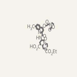 CCOC(=O)N1CCN(C(=O)C(CCC(=O)O)NC(=O)c2cc(OCC(=O)N3CCOC3=O)c3ccc(C)cc3n2)CC1